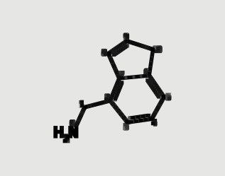 NCc1cccc2c1C=CC2